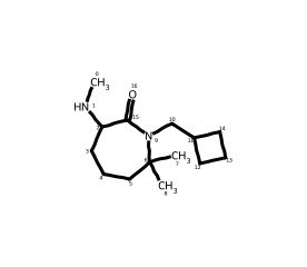 CNC1CCCC(C)(C)N(CC2CCC2)C1=O